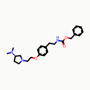 CN(C)[C@@H]1CCN(CCOc2ccc(CCNC(=O)OCc3ccccc3)cc2)C1